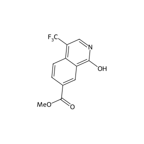 COC(=O)c1ccc2c(C(F)(F)F)cnc(O)c2c1